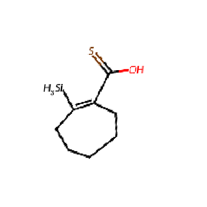 OC(=S)C1=C([SiH3])CCCCC1